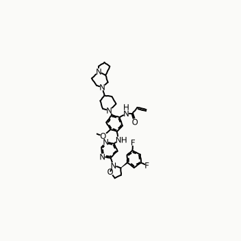 C=CC(=O)Nc1cc(Nc2cc(N3OCC[C@@H]3c3cc(F)cc(F)c3)ncn2)c(OC)cc1N1CCC(N2CCN3CCCC3C2)CC1